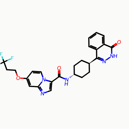 O=C(N[C@H]1CC[C@H](c2n[nH]c(=O)c3ccccc32)CC1)c1cnc2cc(OCCC(F)(F)F)ccn12